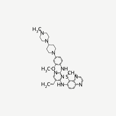 C=Cc1cnc(Nc2ccc(N3CCC(N4CCN(C)CC4)CC3)cc2OC)nc1Nc1ccc2nccnc2c1SC